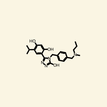 CCCN(C)Cc1ccc(Cn2c(O)nnc2-c2cc(C(C)C)c(O)cc2O)cc1